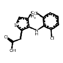 Cc1csc(CC(=O)O)c1Nc1c(Cl)cccc1Cl